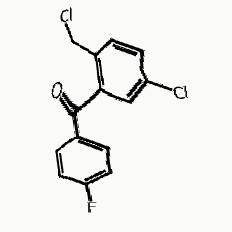 O=C(c1ccc(F)cc1)c1cc(Cl)ccc1CCl